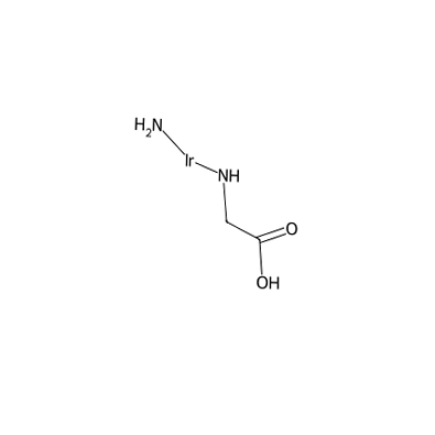 [NH2][Ir][NH]CC(=O)O